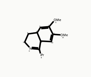 COC1=CC2CCN=C(C(C)C)C2C=C1OC